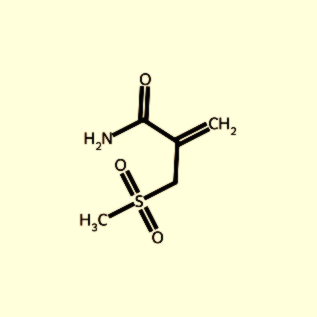 C=C(CS(C)(=O)=O)C(N)=O